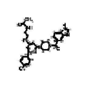 CC(=O)NCCNc1cc(N2CCN(C(=O)c3ccc4[nH]cnc4c3)CC2)nc(-c2ccc(Cl)cc2)n1